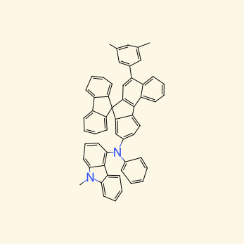 Cc1cc(C)cc(-c2cc3c(c4ccccc24)-c2ccc(N(c4ccccc4)c4cccc5c4c4ccccc4n5C)cc2C32c3ccccc3-c3ccccc32)c1